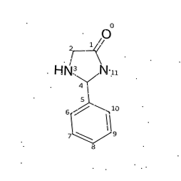 O=C1CNC(c2ccccc2)[N]1